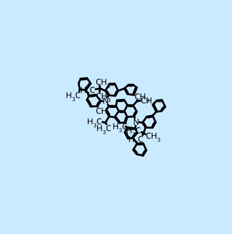 Cc1ccc(C2=CC=CCC2C)cc1N(c1cc(-c2ccccc2)ccc1C(C)(C)C)c1cc(C(C)C)c2ccc3c(N(c4cc(-c5ccccc5)ccc4C)c4cc(-c5ccccc5)ccc4C(C)(C)C)cc(C(C)C)c4ccc1c2c43